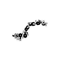 CCN(C)S(=O)(=O)Nc1ccc(F)c(Oc2ccc3ncn([C@H]4CCC5(CCN(C(=O)CC6(O)CCN(c7ccc8c(N9CCC(=O)NC9=O)nn(C)c8c7F)CC6)CC5)C4)c(=O)c3c2)c1C#N